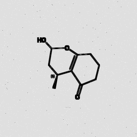 C[C@H]1CC(O)OC2=C1C(=O)CCC2